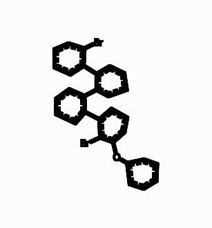 Brc1ccccc1-c1ccccc1-c1ccccc1-c1cccc(Oc2ccccc2)c1Br